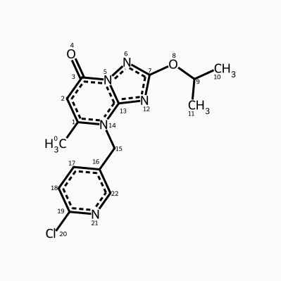 Cc1cc(=O)n2nc(OC(C)C)nc2n1Cc1ccc(Cl)nc1